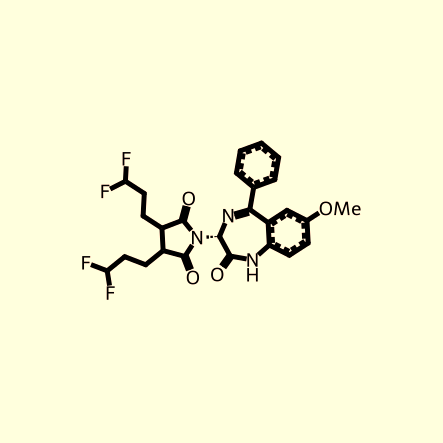 COc1ccc2c(c1)C(c1ccccc1)=N[C@@H](N1C(=O)C(CCC(F)F)C(CCC(F)F)C1=O)C(=O)N2